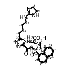 NC(N)(C(=O)O)[C@@H](C(=O)c1nnc(CCCCNC2=NCCN2)s1)S(=O)(=O)c1cccc2ccccc12